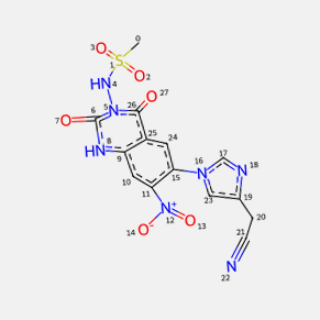 CS(=O)(=O)Nn1c(=O)[nH]c2cc([N+](=O)[O-])c(-n3cnc(CC#N)c3)cc2c1=O